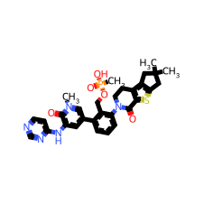 Cn1cc(-c2cccc(N3CCc4c(sc5c4CC(C)(C)C5)C3=O)c2COP(C)(=O)O)cc(Nc2ccncn2)c1=O